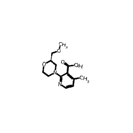 COC[C@H]1CN(c2nccc(C)c2C(=O)O)CCO1